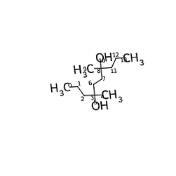 CCCC(C)(O)CCC(C)(O)CCC